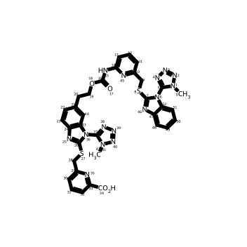 Cn1nnnc1-n1c(SCc2cccc(NC(=O)OCCc3ccc4nc(SCc5cccc(C(=O)O)n5)n(-c5nnnn5C)c4c3)n2)nc2ccccc21